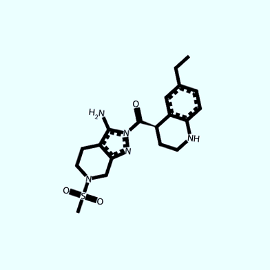 CCc1ccc2c(c1)[C@H](C(=O)n1nc3c(c1N)CCN(S(C)(=O)=O)C3)CCN2